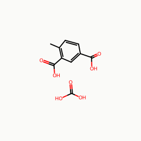 Cc1ccc(C(=O)O)cc1C(=O)O.O=C(O)O